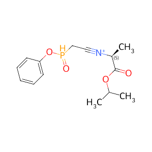 CC(C)OC(=O)[C@H](C)[N+]#CC[PH](=O)Oc1ccccc1